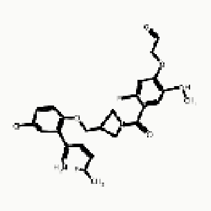 CNc1cc(C(=O)N2CC(COc3ccc(Cl)cc3C(/C=C\C(C)F)=C/N)C2)c(F)cc1OCC=O